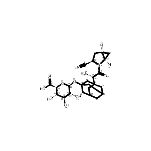 N#C[C@H]1C[C@H]2C[C@H]2N1C(=O)[C@@H](N)C12CC3CC(CC(O[C@@H]4O[C@H](C(=O)O)[C@@H](O)[C@H](O)[C@H]4O)(C3)C1)C2